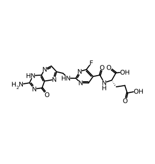 Nc1nc(=O)c2nc(CNc3ncc(C(=O)N[C@@H](CCC(=O)O)C(=O)O)c(F)n3)cnc2[nH]1